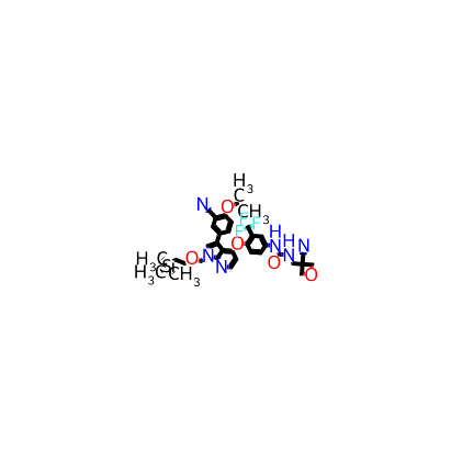 CC(C)Oc1ccc(-c2cn(COCC[Si](C)(C)C)c3nccc(Oc4ccc(NC(=O)NCC5(C#N)COC5)cc4C(F)(F)F)c23)cc1C#N